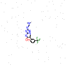 CN(C)C=Nc1nc2nc(O)c(-c3cccc(C(F)(F)F)c3)cn2n1